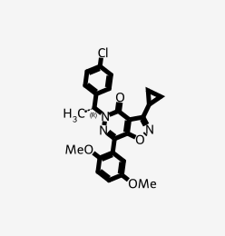 COc1ccc(OC)c(-c2nn([C@H](C)c3ccc(Cl)cc3)c(=O)c3c(C4CC4)noc23)c1